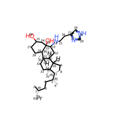 CC(C)[C@H](C)CC[C@@H](C)[C@H]1CC[C@H]2[C@@H]3CC(NCCc4c[nH]cn4)C4(O)CC(O)CC[C@]4(C)[C@H]3CC[C@]12C